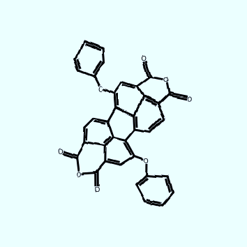 O=C1OC(=O)c2cc(Oc3ccccc3)c3c4ccc5c6c(cc(Oc7ccccc7)c(c7ccc1c2c73)c64)C(=O)OC5=O